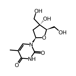 Cc1cn([C@H]2C[C@@](O)(CO)[C@@H](CO)O2)c(=O)[nH]c1=O